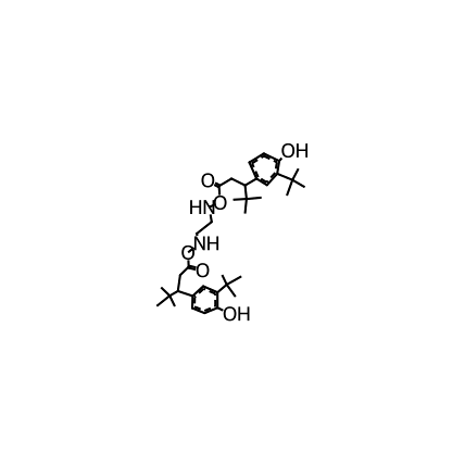 CC(C)(C)c1cc(C(CC(=O)ONCCNOC(=O)CC(c2ccc(O)c(C(C)(C)C)c2)C(C)(C)C)C(C)(C)C)ccc1O